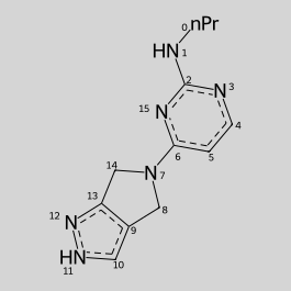 CCCNc1nccc(N2Cc3c[nH]nc3C2)n1